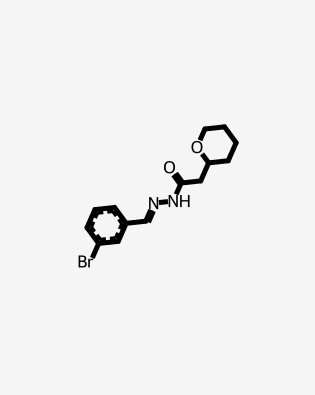 O=C(CC1CCCCO1)N/N=C/c1cccc(Br)c1